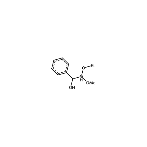 CCO[SiH](OC)C(O)c1ccccc1